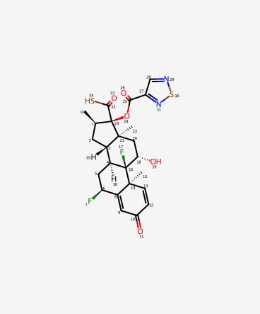 C[C@@H]1C[C@H]2[C@@H]3C[C@H](F)C4=CC(=O)C=C[C@]4(C)[C@@]3(F)[C@@H](O)C[C@]2(C)[C@@]1(OC(=O)c1cnsn1)C(=O)S